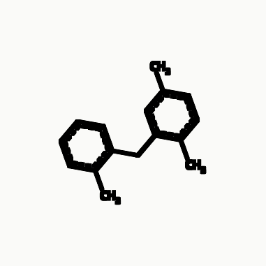 Cc1ccc(C)c(Cc2ccccc2C)c1